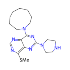 CSc1ncnc2c(N3CCCCCCCC3)nc(N3CCNCC3)nc12